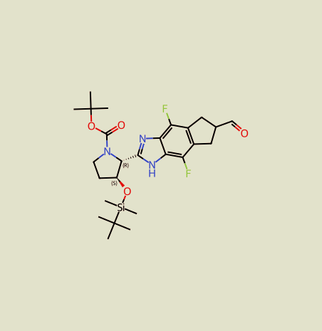 CC(C)(C)OC(=O)N1CC[C@H](O[Si](C)(C)C(C)(C)C)[C@H]1c1nc2c(F)c3c(c(F)c2[nH]1)CC(C=O)C3